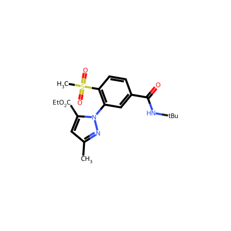 CCOC(=O)c1cc(C)nn1-c1cc(C(=O)NC(C)(C)C)ccc1S(C)(=O)=O